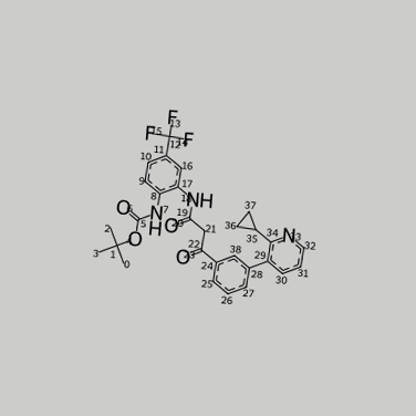 CC(C)(C)OC(=O)Nc1ccc(C(F)(F)F)cc1NC(=O)CC(=O)c1cccc(-c2cccnc2C2CC2)c1